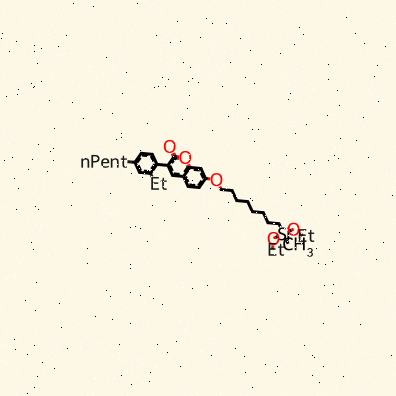 CCCCCc1ccc(-c2cc3ccc(OCCCCCCCC[Si](C)(OCC)OCC)cc3oc2=O)c(CC)c1